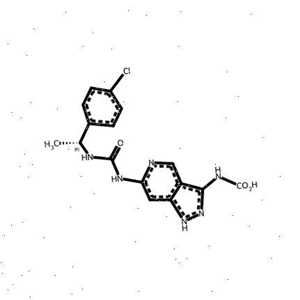 C[C@@H](NC(=O)Nc1cc2[nH]nc(NC(=O)O)c2cn1)c1ccc(Cl)cc1